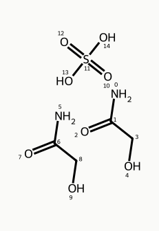 NC(=O)CO.NC(=O)CO.O=S(=O)(O)O